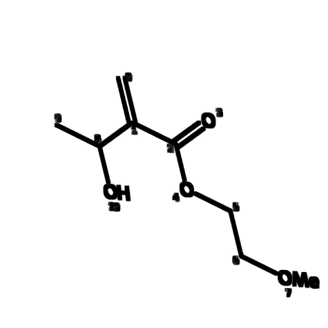 C=C(C(=O)OCCOC)C(C)O